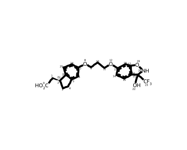 O=C(O)C[C@@H]1CCc2cc(OCCCOc3ccc4c(c3)ONC4(O)C(F)(F)F)ccc21